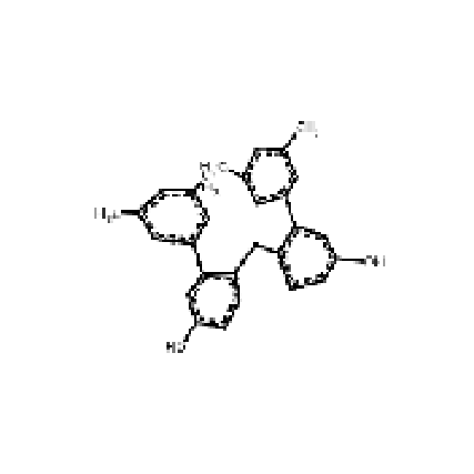 Cc1cc(C)cc(-c2cc(O)ccc2Cc2ccc(O)cc2-c2cc(C)cc(C)c2)c1